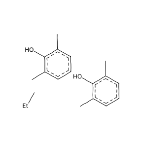 CCC.Cc1cccc(C)c1O.Cc1cccc(C)c1O